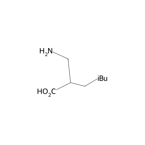 CCC(C)CC(CN)C(=O)O